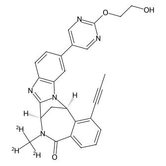 [2H]C([2H])([2H])N1C(=O)c2cccc(C#CC)c2[C@H]2C[C@@H]1c1nc3ccc(-c4cnc(OCCO)nc4)cc3n12